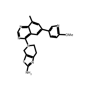 COc1ccc(-c2cc(C)c3ncnc(N4CCc5nc(N)sc5C4)c3c2)cn1